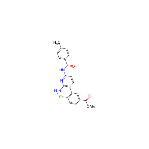 COC(=O)c1ccc(Cl)c(-c2ccc(NC(=O)c3ccc(C)cc3)nc2N)c1